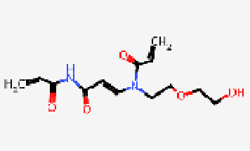 C=CC(=O)NC(=O)C=CN(CCOCCO)C(=O)C=C